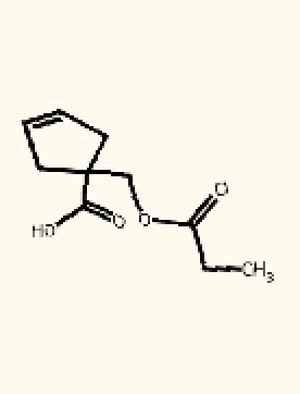 CCC(=O)OCC1(C(=O)O)CC=CC1